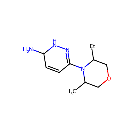 CCC1COCC(C)N1C1=NN[C](N)C=C1